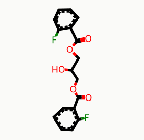 O=C(OCC(O)COC(=O)c1ccccc1F)c1ccccc1F